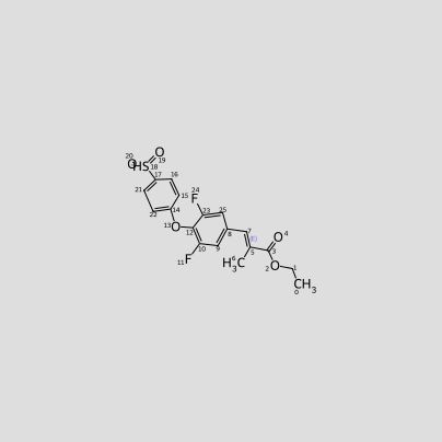 CCOC(=O)/C(C)=C/c1cc(F)c(Oc2ccc([SH](=O)=O)cc2)c(F)c1